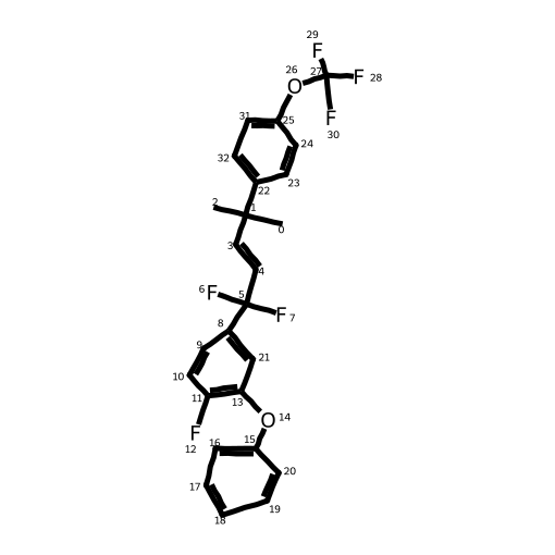 CC(C)(C=CC(F)(F)c1ccc(F)c(Oc2ccccc2)c1)c1ccc(OC(F)(F)F)cc1